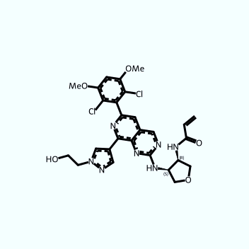 C=CC(=O)N[C@H]1COC[C@H]1Nc1ncc2cc(-c3c(Cl)c(OC)cc(OC)c3Cl)nc(-c3cnn(CCO)c3)c2n1